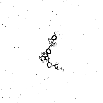 C=CC(=O)N1CCCC(n2nc(-c3ccc(CNS(=O)(=O)c4ccc(C(F)(F)F)cc4F)cc3)c3c(N)ncnc32)C1